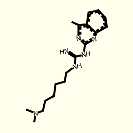 Cc1nc(NC(=N)NCCCCCCN(C)C)nc2ccccc12